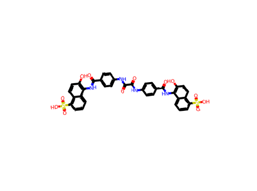 O=C(Nc1ccc(C(=O)Nc2c(O)ccc3c(S(=O)(=O)O)cccc23)cc1)C(=O)Nc1ccc(C(=O)Nc2c(O)ccc3c(S(=O)(=O)O)cccc23)cc1